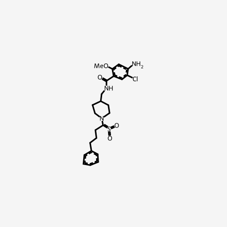 COc1cc(N)c(Cl)cc1C(=O)NCC1CCN(C(CCCc2ccccc2)=S(=O)=O)CC1